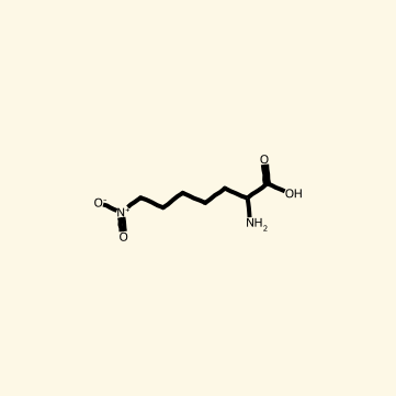 NC(CCCCC[N+](=O)[O-])C(=O)O